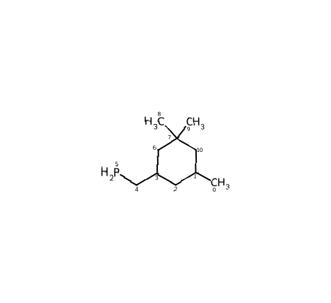 CC1CC(CP)CC(C)(C)C1